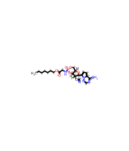 CCCCCCCOC(=O)CNP1(=O)OC[C@H]2O[C@@](C#N)(c3ccc4c(N)ncnn34)[C@](C)(F)[C@@H]2O1